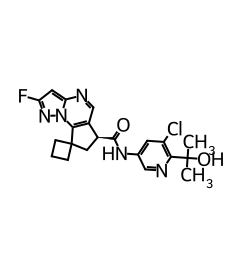 CC(C)(O)c1ncc(NC(=O)[C@H]2CC3(CCC3)c3c2cnc2cc(F)nn32)cc1Cl